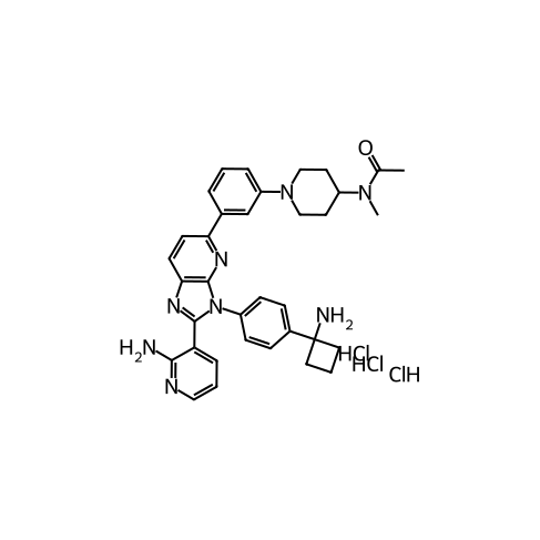 CC(=O)N(C)C1CCN(c2cccc(-c3ccc4nc(-c5cccnc5N)n(-c5ccc(C6(N)CCC6)cc5)c4n3)c2)CC1.Cl.Cl.Cl